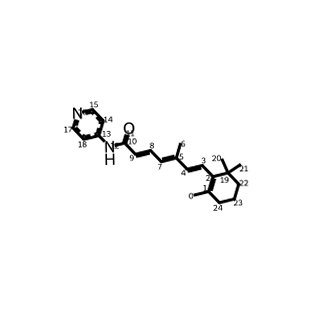 CC1=C(/C=C/C(C)=C/C=C/C(=O)Nc2ccncc2)C(C)(C)CCC1